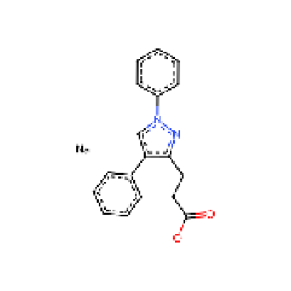 O=C([O-])CCc1nn(-c2ccccc2)cc1-c1ccccc1.[Na+]